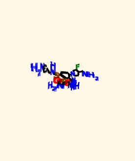 NCCCNSc1ccc(N2CCC(CN)C(F)C2)c(-c2nn[nH]n2)c1S(N)(=O)=O